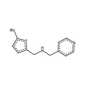 CC(C)(C)c1ccc(CNCc2ccncc2)s1